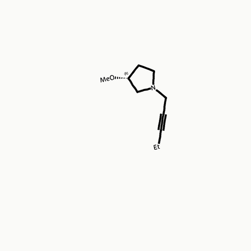 CCC#CCN1CC[C@@H](OC)C1